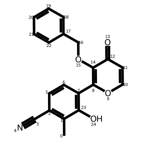 Cc1c(C#N)ccc(-c2occc(=O)c2OCc2ccccc2)c1O